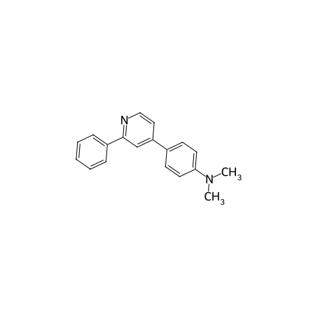 CN(C)c1ccc(-c2ccnc(-c3ccccc3)c2)cc1